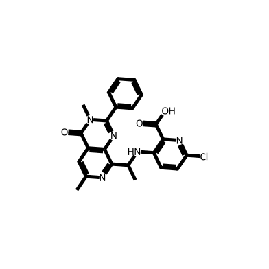 Cc1cc2c(=O)n(C)c(-c3ccccc3)nc2c(C(C)Nc2ccc(Cl)nc2C(=O)O)n1